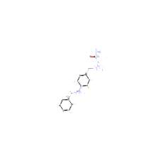 C[C@H](NCc1ccc(NCc2ccccc2)cc1)C(N)=O